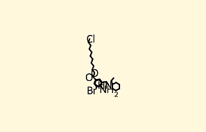 CCC1(NCc2cc(C(=O)OCCCCCCCCCCl)cc(Br)c2N)CCCCC1